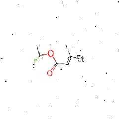 [CH2]C(F)OC(=O)C=C(C)CC